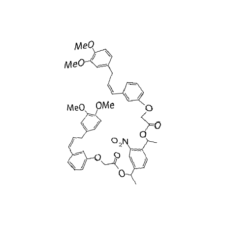 COc1ccc(C/C=C\c2cccc(OCC(=O)OC(C)c3ccc(C(C)OC(=O)COc4cccc(/C=C\Cc5ccc(OC)c(OC)c5)c4)c([N+](=O)[O-])c3)c2)cc1OC